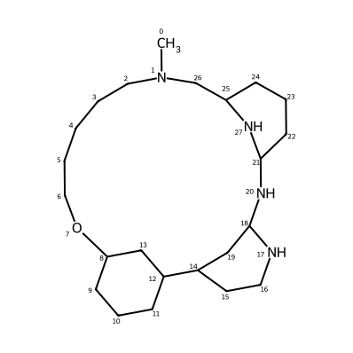 CN1CCCCCOC2CCCC(C2)C2CCNC(C2)NC2CCCC(C1)N2